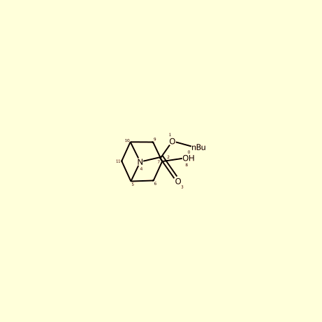 CCCCOC(=O)N1C2CC(O)CC1C2